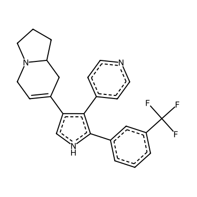 FC(F)(F)c1cccc(-c2[nH]cc(C3=CCN4CCCC4C3)c2-c2ccncc2)c1